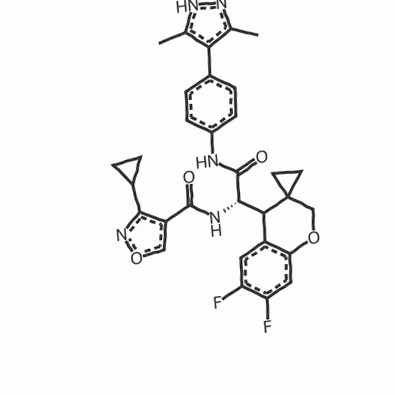 Cc1n[nH]c(C)c1-c1ccc(NC(=O)[C@@H](NC(=O)c2conc2C2CC2)C2c3cc(F)c(F)cc3OCC23CC3)cc1